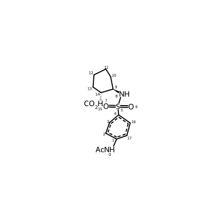 CC(=O)Nc1ccc(S(=O)(=O)N[C@@H]2CCCC[C@H]2C(=O)O)cc1